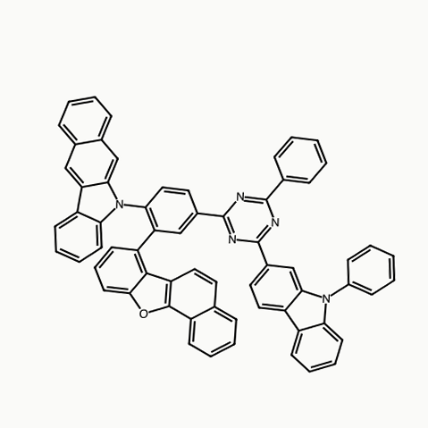 c1ccc(-c2nc(-c3ccc(-n4c5ccccc5c5cc6ccccc6cc54)c(-c4cccc5oc6c7ccccc7ccc6c45)c3)nc(-c3ccc4c5ccccc5n(-c5ccccc5)c4c3)n2)cc1